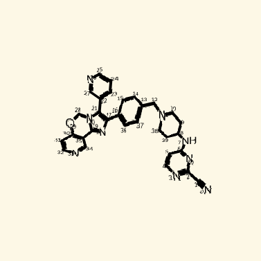 N#Cc1nccc(NC2CCN(Cc3ccc(-c4nc5n(c4-c4cccnc4)COc4ccncc4-5)cc3)CC2)n1